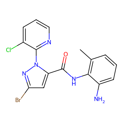 Cc1cccc(N)c1NC(=O)c1cc(Br)nn1-c1ncccc1Cl